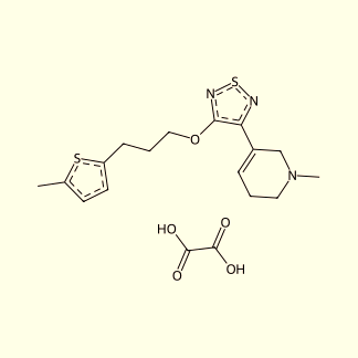 Cc1ccc(CCCOc2nsnc2C2=CCCN(C)C2)s1.O=C(O)C(=O)O